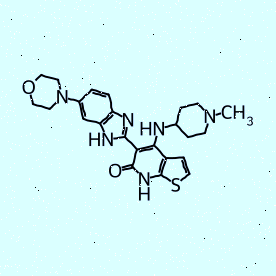 CN1CCC(Nc2c(-c3nc4ccc(N5CCOCC5)cc4[nH]3)c(=O)[nH]c3sccc23)CC1